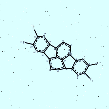 Fc1nc2c(nc1F)-c1ccc3c4c(ccc-2c14)-c1nc(F)c(F)nc1-3